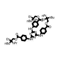 CCCCC(CC)(CCC)COC(=O)c1ccc(Nc2nc(Nc3ccc(C(=O)OCC(CC)(CCC)CCCC)cc3)nc(Nc3ccc(C(=O)OCC(CC)(CCC)CCCC)cc3)n2)cc1